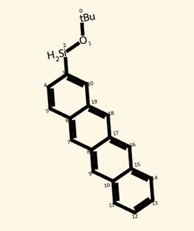 CC(C)(C)O[SiH2]c1ccc2cc3cc4ccccc4cc3cc2c1